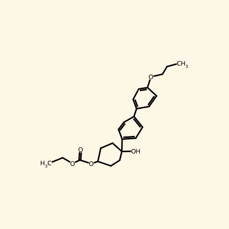 CCCOc1ccc(-c2ccc(C3(O)CCC(OC(=O)OCC)CC3)cc2)cc1